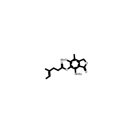 CC=C(C)CCC(=O)Oc1c(NC(C)=O)c2c(c(C)c1OC)COC2=O